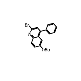 CCCCc1ccc2nc(Br)cc(-c3ccccc3)c2c1